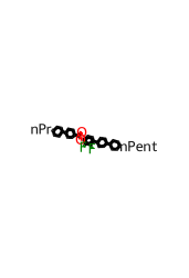 CCCCCC1CCC(C2CCC(c3ccc(OC(=O)C4CCC(C5CCC(CCC)CC5)CC4)c(F)c3F)CC2)CC1